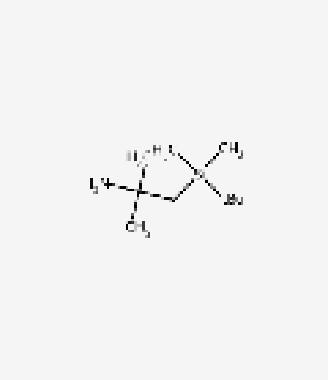 CC(C)(N)C[Si](C)(C)C(C)(C)C